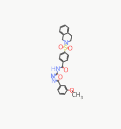 COc1cccc(-c2nnc(NC(=O)c3ccc(S(=O)(=O)N4CCc5ccccc5C4)cc3)o2)c1